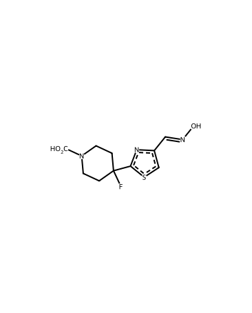 O=C(O)N1CCC(F)(c2nc(C=NO)cs2)CC1